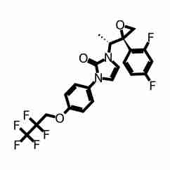 C[C@@H](n1ccn(-c2ccc(OCC(F)(F)C(F)(F)F)cc2)c1=O)[C@@]1(c2ccc(F)cc2F)CO1